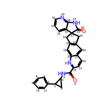 O=C(NC1CC1c1ccccc1)c1ccc2cc3c(cc2n1)CC1(C3)C(=O)Nc2ncccc21